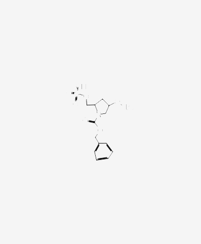 CC(C)(C)OC1CC(COS(C)(=O)=O)N(C(=O)OCc2ccccc2)C1